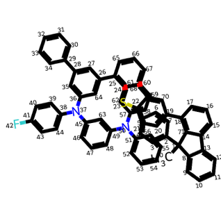 CC1(c2ccccc2)c2ccccc2-c2cccc(-c3ccc4sc5c(-c6cc(-c7ccccc7)cc(N(c7ccc(F)cc7)c7cccc(N(c8ccccc8)c8ccccc8)c7)c6)cccc5c4c3)c21